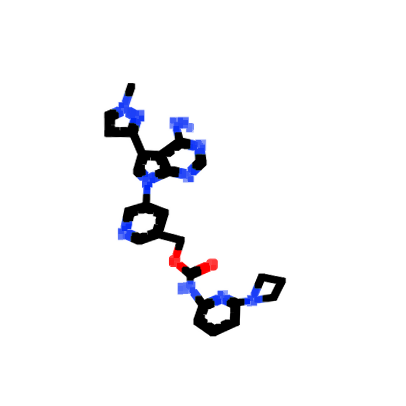 Cn1ccc(-c2cn(-c3cncc(COC(=O)Nc4cccc(N5CCC5)n4)c3)c3ncnc(N)c23)n1